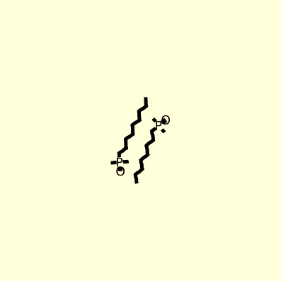 CCCCCCCCCP(C)(C)=O.CCCCCCCCP(C)(C)=O